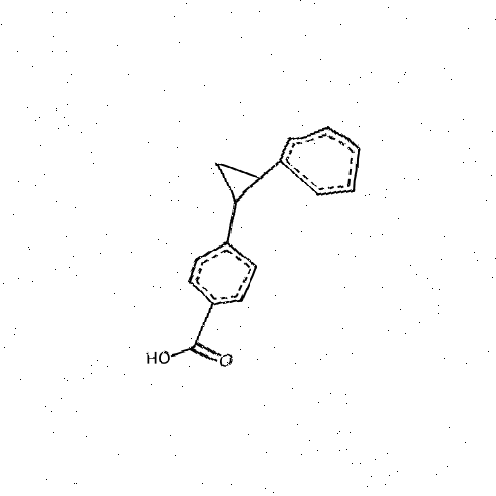 O=C(O)c1ccc(C2CC2c2ccccc2)cc1